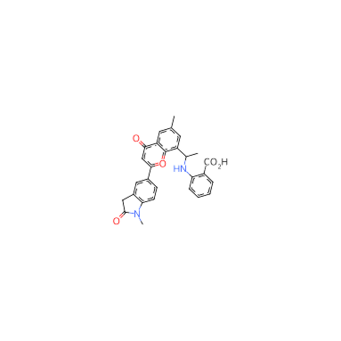 Cc1cc(C(C)Nc2ccccc2C(=O)O)c2oc(-c3ccc4c(c3)CC(=O)N4C)cc(=O)c2c1